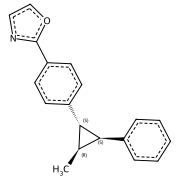 C[C@@H]1[C@H](c2ccccc2)[C@H]1c1ccc(-c2ncco2)cc1